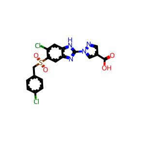 O=C(O)c1cnn(-c2nc3cc(S(=O)(=O)Cc4ccc(Cl)cc4)c(Cl)cc3[nH]2)c1